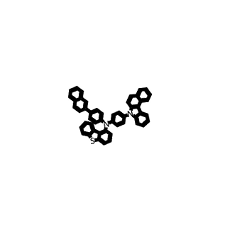 c1ccc2cc(-c3ccc(N(c4ccc(-n5c6ccccc6c6c7ccccc7ccc65)cc4)c4cccc5sc6ccccc6c45)cc3)ccc2c1